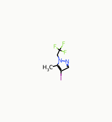 Cc1c(I)cnn1CC(F)(F)F